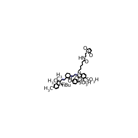 CCCC[N+]1=C(/C=C/C2=C(Oc3ccc(S(=O)(=O)O)cc3)C(=C/C=C3/N(CCCCCC(=O)NCCN4C(=O)C=CC4=O)c4ccc(S(=O)(=O)O)cc4C3(C)C)/CCC2)C(C)(C)c2cc(C)ccc21